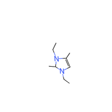 CCN1C=C(C)N(CC)C1C